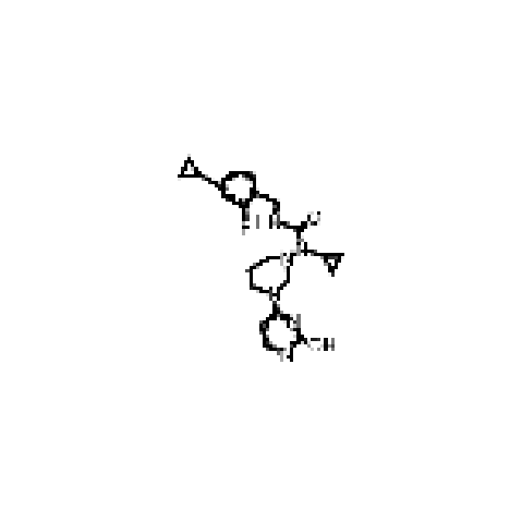 O=C(NCc1ccc(C2CC2)cc1F)N(C1CC1)N1CCCN(c2ccnc(O)n2)C1